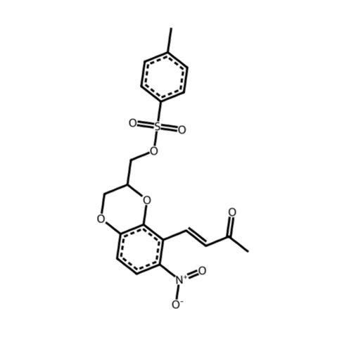 CC(=O)C=Cc1c([N+](=O)[O-])ccc2c1OC(COS(=O)(=O)c1ccc(C)cc1)CO2